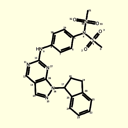 CS(=O)(=O)N(c1ccc(Nc2ncc3cnn(C4CCc5ccccc54)c3n2)cc1)S(C)(=O)=O